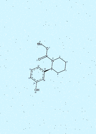 CC(C)(C)OC(=O)N1CCCC[C@H]1c1cccc(O)c1